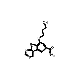 NC(=O)c1cc(OCCCO)c2[nH]c3ncncc3c2c1